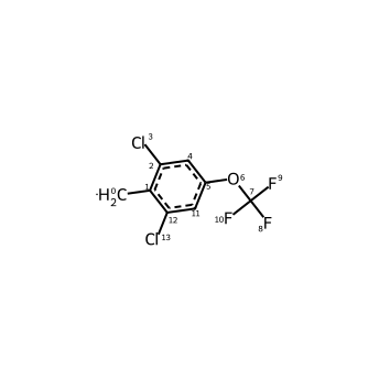 [CH2]c1c(Cl)cc(OC(F)(F)F)cc1Cl